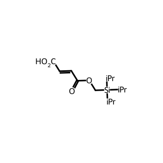 CC(C)[Si](COC(=O)C=CC(=O)O)(C(C)C)C(C)C